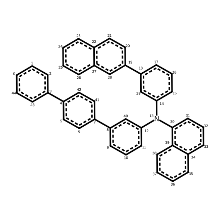 c1ccc(-c2ccc(-c3cccc(N(c4cccc(-c5ccc6ccccc6c5)c4)c4cccc5ccccc45)c3)cc2)cc1